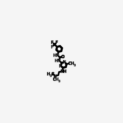 Cc1cc(NCCN(C)C)nc(NC(=O)Nc2cccc(C(F)(F)F)c2)n1